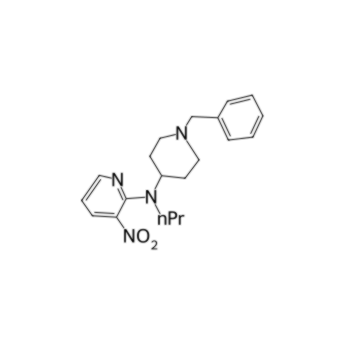 CCCN(c1ncccc1[N+](=O)[O-])C1CCN(Cc2ccccc2)CC1